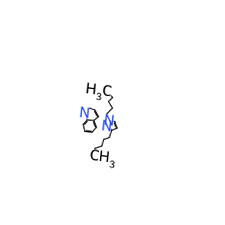 CCCCCc1ccn(CCCCC)n1.c1ccc2ncccc2c1